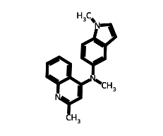 Cc1cc(N(C)c2ccc3c(ccn3C)c2)c2ccccc2n1